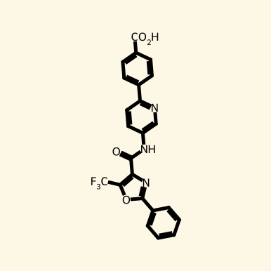 O=C(O)c1ccc(-c2ccc(NC(=O)c3nc(-c4ccccc4)oc3C(F)(F)F)cn2)cc1